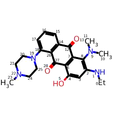 CCNc1cc(O)c2c(c1N(C)C)C(=O)c1cccc(N3CCN(C)CC3)c1C2=O